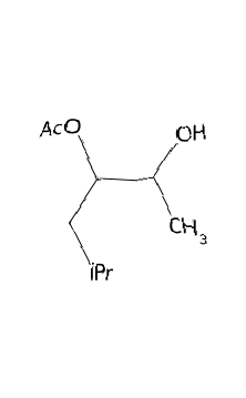 CC(=O)OC(CC(C)C)C(C)O